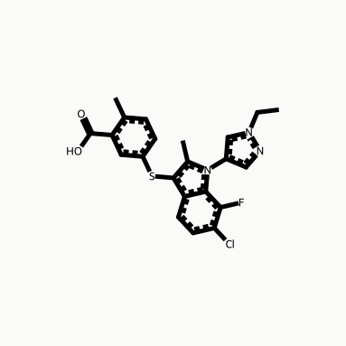 CCn1cc(-n2c(C)c(Sc3ccc(C)c(C(=O)O)c3)c3ccc(Cl)c(F)c32)cn1